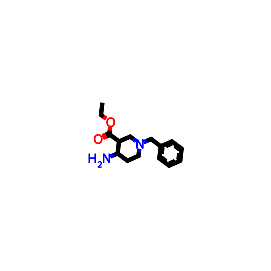 CCOC(=O)C1CN(Cc2ccccc2)CCC1N